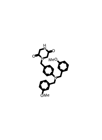 COc1cccc(CN(Cc2cccc(OC)c2)c2ccc(CN3CC(=O)NCC3=O)cc2)c1